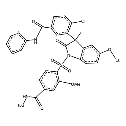 CCOc1ccc2c(c1)C(C)(c1cc(C(=O)Nc3ccccn3)ccc1Cl)C(=O)N2S(=O)(=O)c1ccc(C(=O)NC(C)(C)C)cc1OC